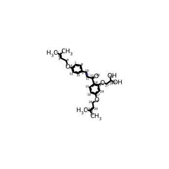 CC(C)=CCOc1ccc(/C=C/C(=O)c2ccc(OCC=C(C)C)cc2OCC(O)O)cc1